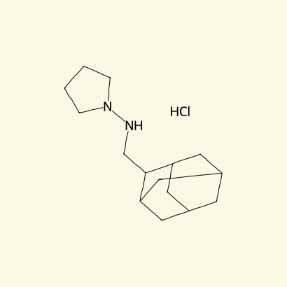 C1CCN(NCC2C3CC4CC(C3)CC2C4)C1.Cl